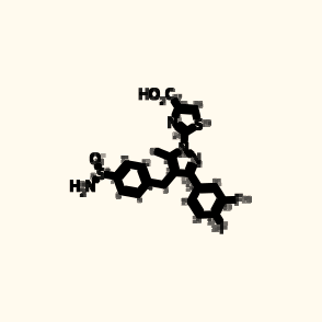 Cc1c(Cc2ccc([S+](N)[O-])cc2)c(-c2ccc(F)c(F)c2)nn1-c1nc(C(=O)O)cs1